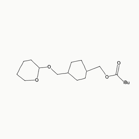 CCC(C)C(=O)OCC1CCC(COC2CCCCO2)CC1